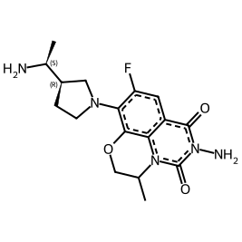 CC1COc2c(N3CC[C@@H]([C@H](C)N)C3)c(F)cc3c(=O)n(N)c(=O)n1c23